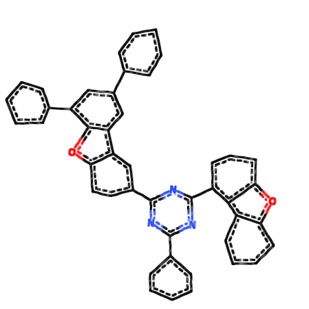 c1ccc(-c2cc(-c3ccccc3)c3oc4ccc(-c5nc(-c6ccccc6)nc(-c6cccc7oc8ccccc8c67)n5)cc4c3c2)cc1